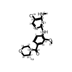 CNc1nc(Nc2ccc(C(=O)N3CCOC[C@H]3C)cc2OC)ncc1Cl